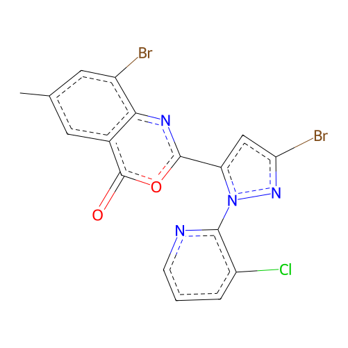 Cc1cc(Br)c2nc(-c3cc(Br)nn3-c3ncccc3Cl)oc(=O)c2c1